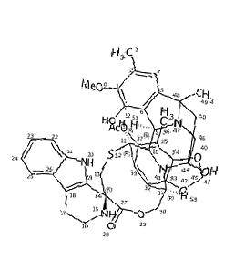 COc1c(C)cc2c(c1O)[C@@H]1C3[C@@H]4SC[C@]5(NCCc6c5[nH]c5ccccc65)C(=O)OC[C@@H](c5c6c(c(C)c(OC(C)=O)c54)OCO6)N3C3(O)CN1C2(C)C3